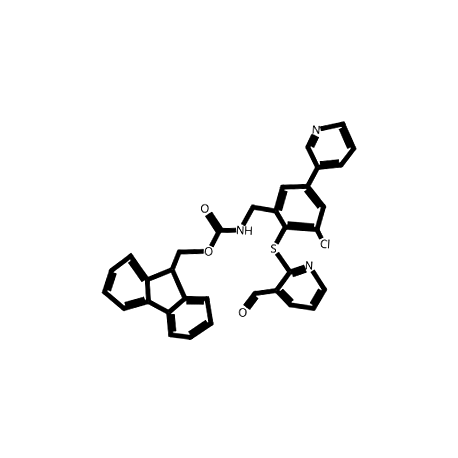 O=Cc1cccnc1Sc1c(Cl)cc(-c2cccnc2)cc1CNC(=O)OCC1c2ccccc2-c2ccccc21